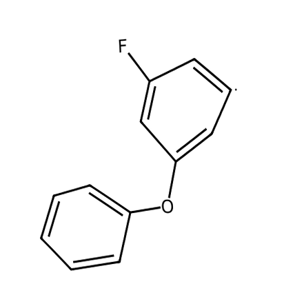 Fc1c[c]cc(Oc2ccccc2)c1